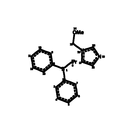 CC(C)B(c1ccccc1)c1ccccc1.COCn1ccnc1